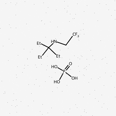 CCC(CC)(CC)NCC(F)(F)F.O=P(O)(O)O